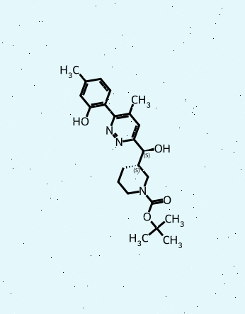 Cc1ccc(-c2nnc([C@@H](O)[C@H]3CCCN(C(=O)OC(C)(C)C)C3)cc2C)c(O)c1